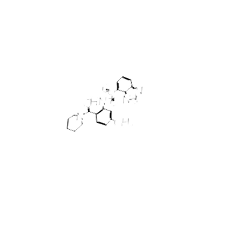 Cc1ccc(C(=O)N2CCCCC2)c(NS(=O)(=O)c2cccc3nsnc23)c1